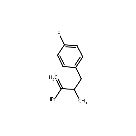 C=C(C(C)C)C(C)Cc1ccc(F)cc1